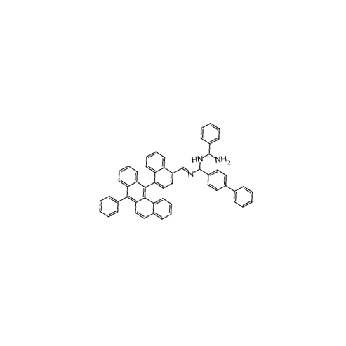 NC(NC(/N=C/c1ccc(-c2c3ccccc3c(-c3ccccc3)c3ccc4ccccc4c23)c2ccccc12)c1ccc(-c2ccccc2)cc1)c1ccccc1